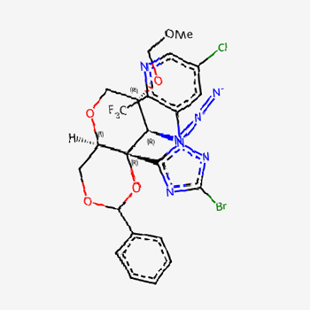 COCO[C@H]1CO[C@@H]2COC(c3ccccc3)O[C@@]2(c2nc(Br)nn2-c2cc(Cl)cnc2C(F)(F)F)[C@@H]1N=[N+]=[N-]